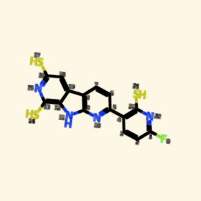 Fc1ccc(-c2ccc3c(n2)[nH]c2c(S)nc(S)cc23)c(S)n1